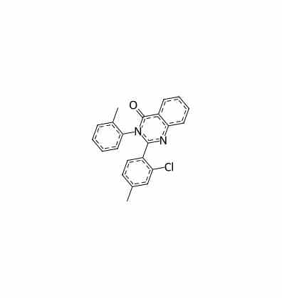 Cc1ccc(-c2nc3ccccc3c(=O)n2-c2ccccc2C)c(Cl)c1